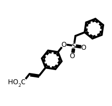 O=C(O)C=Cc1ccc(OS(=O)(=O)Cc2ccccc2)cc1